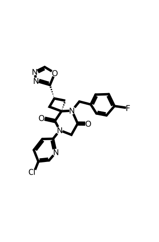 O=C1CN(c2ccc(Cl)cn2)C(=O)[C@]2(C[C@@H](c3nnco3)C2)N1Cc1ccc(F)cc1